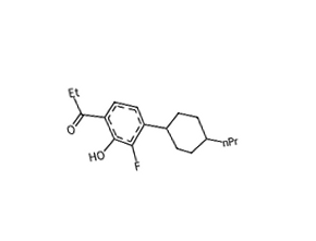 CCCC1CCC(c2ccc(C(=O)CC)c(O)c2F)CC1